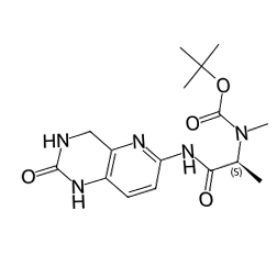 C[C@@H](C(=O)Nc1ccc2c(n1)CNC(=O)N2)N(C)C(=O)OC(C)(C)C